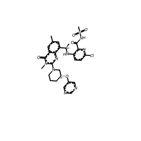 Cc1cc([C@@H](C)Nc2ccc(Cl)nc2C(=O)NS(C)(=O)=O)c2nc(N3CCC[C@@H](Oc4cncnc4)C3)n(C)c(=O)c2c1